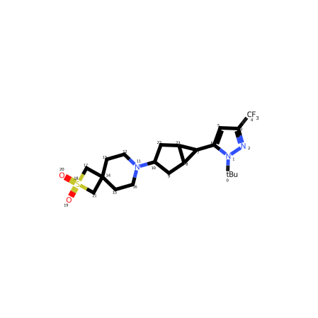 CC(C)(C)n1nc(C(F)(F)F)cc1C1C2CC(N3CCC4(CC3)CS(=O)(=O)C4)CC21